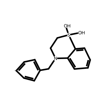 OS1(O)CCN(Cc2cc[c]cc2)c2ccccc21